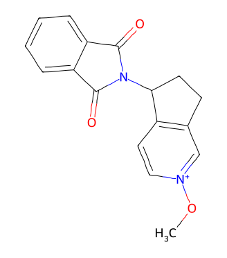 CO[n+]1ccc2c(c1)CCC2N1C(=O)c2ccccc2C1=O